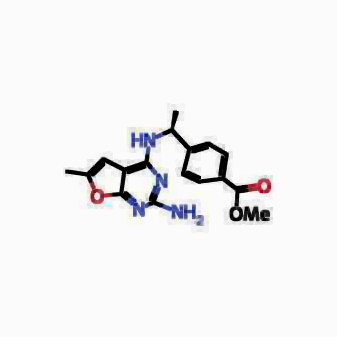 COC(=O)c1ccc([C@H](C)Nc2nc(N)nc3oc(C)cc23)cc1